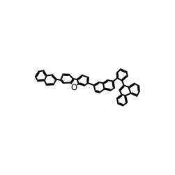 c1ccc(-c2cc3ccccc3c3ccccc23)c(-c2ccc3ccc(-c4ccc5c(c4)oc4cc(-c6ccc7ccccc7c6)ccc45)cc3c2)c1